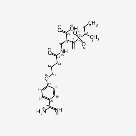 CCC(C)S(=O)(=O)N[C@@H](CNC(=O)CCCOc1ccc(C(=N)N)cc1)C(=O)O